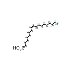 O=C(O)CCCCCCC/C=C\CCCCCCCCF